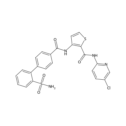 NS(=O)(=O)c1ccccc1-c1ccc(C(=O)Nc2ccsc2C(=O)Nc2ccc(Cl)cn2)cc1